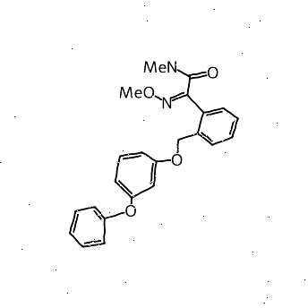 CNC(=O)C(=NOC)c1ccccc1COc1cccc(Oc2ccccc2)c1